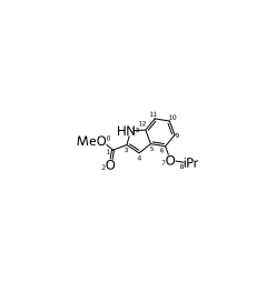 COC(=O)c1cc2c(OC(C)C)cccc2[nH]1